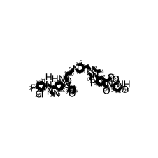 CC1CN(CC2CCN(C/C=C/C(=O)Nc3cc4c(Nc5ccc(F)c(Cl)c5)ncnc4cc3O[C@H]3CCOC3)CC2)CC(C)N1c1cc2c(cc1F)C(=O)N(C1CCC(=O)NC1=O)C2=O